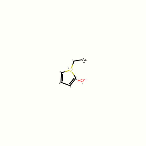 CC(=O)C[s+]1cccc1.[OH-]